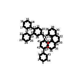 c1ccc(-c2ccc(N(c3ccc(-c4ccccc4)c(-c4ccccc4)c3)c3cccc4ccc5ccccc5c34)cc2)cc1